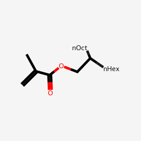 C=C(C)C(=O)OCC(CCCCCC)CCCCCCCC